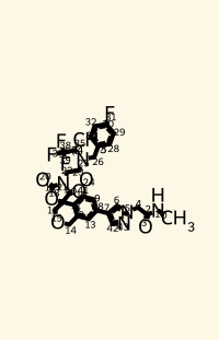 CNC(=O)Cn1cc(-c2ccc3c(c2)COCC32OC(=O)N(CC(=O)N(Cc3ccc(F)cc3)[C@@H](C)C(F)(F)F)C2=O)cn1